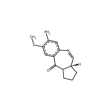 COc1cc2c(cc1P)N=C[C@@H]1CCCN1C2=O